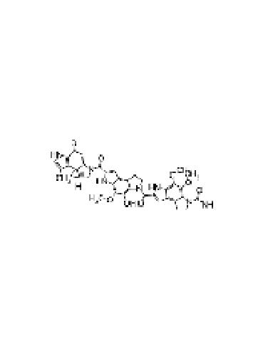 COc1c2c(c3cc(C(=O)N4CCc5c4c(O)c(OC)c4[nH]c(C(=O)N6C[C@H]7CC78C6=CC(=O)c6[nH]cc(C)c68)cc54)[nH]c3c1OC)CCN2C(N)=O